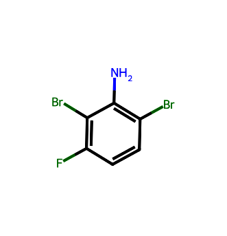 Nc1c(Br)ccc(F)c1Br